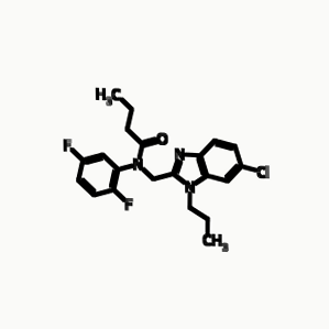 CCCC(=O)N(Cc1nc2ccc(Cl)cc2n1CCC)c1cc(F)ccc1F